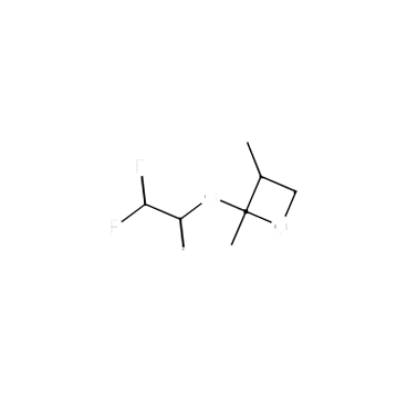 CC1COC1(C)OC(F)C(F)F